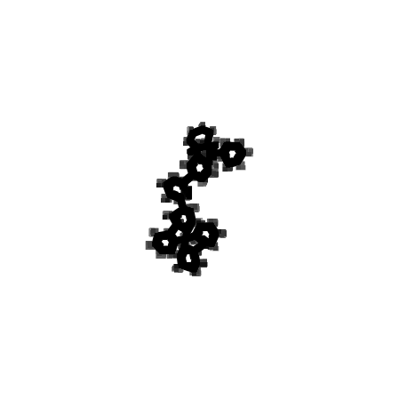 CC12CCCCC1(C)N(c1ccccc1)c1ccc(-c3cccc(-c4ccc5c(c4)-c4ccccc4C54c5ccccc5-c5ccccc54)n3)cc12